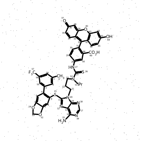 Cc1cc(-c2cc3c(cc2Sc2nc4c(N)ncnc4n2CCCN(C(=S)Nc2ccc(-c4c5ccc(=O)cc-5oc5cc(O)ccc45)c(C(=O)O)c2)C(C)C)OCO3)cc(C(F)(F)F)c1